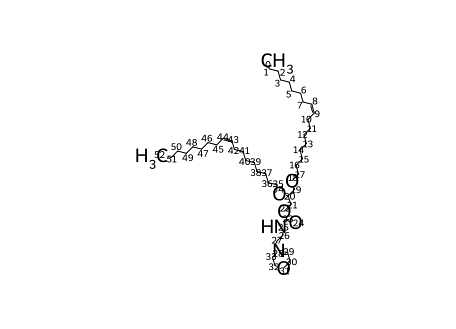 CCCCCCCC/C=C\CCCCCCCCOCC(COC(=O)NCCN1CCOCC1)OCCCCCCCC/C=C\CCCCCCCC